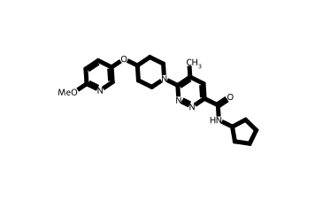 COc1ccc(OC2CCN(c3nnc(C(=O)NC4CCCC4)cc3C)CC2)cn1